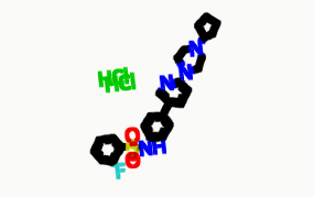 Cl.Cl.O=S(=O)(Nc1ccc(-c2ccc(N3CCN(C4CCCC4)CC3)nc2)cc1)c1ccccc1F